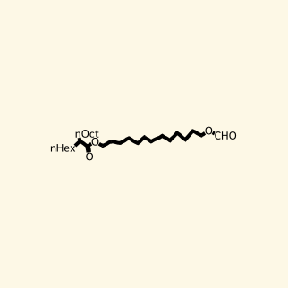 CCCCCCCCC(CCCCCC)C(=O)OCCCCCCCCCCCCCOC=O